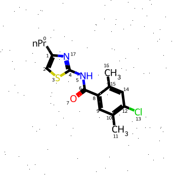 CCCc1csc(NC(=O)c2cc(C)c(Cl)cc2C)n1